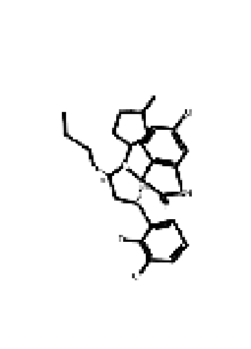 CCCC[C@H]1CC(c2cccc(Cl)c2F)[C@]2(C(=O)Nc3cc(Cl)ccc32)N1C1CCC(C)C1